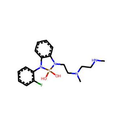 CNCCN(C)CCN1c2ccccc2N(c2ccccc2F)S1(O)O